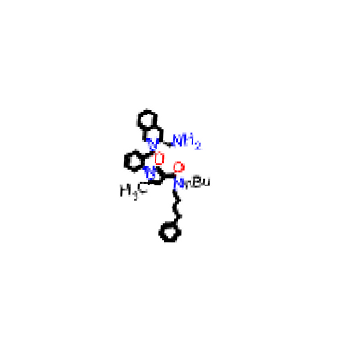 CCCCN(CCCCc1ccccc1)C(=O)c1cc(C)n(-c2ccccc2C(=O)N2Cc3ccccc3C[C@H]2CN)c1